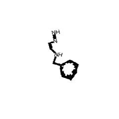 N=N/C=C\NCc1ccccc1